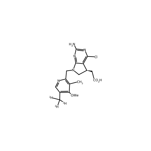 [2H]C([2H])([2H])c1cnc(CN2C[C@H](CC(=O)O)c3c(Cl)nc(N)nc32)c(C)c1OC